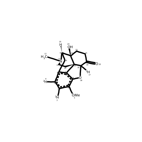 [2H]c1c([2H])c(OC)c2c3c1C[C@H]1N(C)CC[C@@]34C([2H])(O2)C(=O)CC[C@@]14O